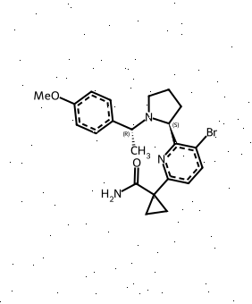 COc1ccc([C@@H](C)N2CCC[C@H]2c2nc(C3(C(N)=O)CC3)ccc2Br)cc1